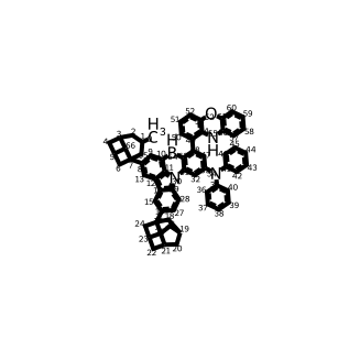 CC1CC2CC3CC(c4cc5c6c(c4)c4cc(C78CC9CC%10CC(C7)C%108C9)ccc4n6-c4cc(N(c6ccccc6)c6ccccc6)cc(-c6cccc7c6Nc6ccccc6O7)c4B5)(C1)C23